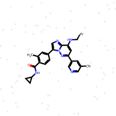 Cc1cc(-c2cnc3c(NCC(C)C)cc(-c4cncc(C#N)c4)nn23)ccc1C(=O)NC1CC1